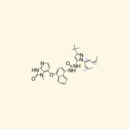 C\C=C/C=C(\C=C/C)n1nc(C(C)(C)C)cc1NC(=O)Nc1ccc(Oc2ccnc3[nH]c(=O)n(C)c23)c2ccccc12